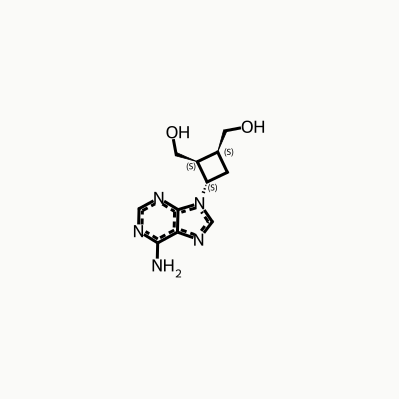 Nc1ncnc2c1ncn2[C@H]1C[C@H](CO)[C@@H]1CO